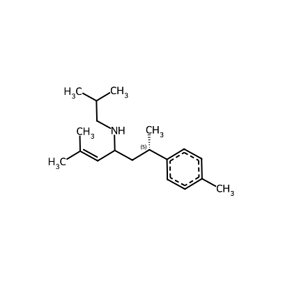 CC(C)=CC(C[C@H](C)c1ccc(C)cc1)NCC(C)C